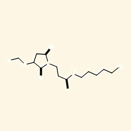 C=C(CCN1C(=O)CC(SCC(C)C)C1=O)NCCCCCC(C)C